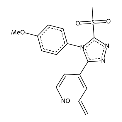 C=C/C=C(\C=C/N=O)c1nnc(S(C)(=O)=O)n1-c1ccc(OC)cc1